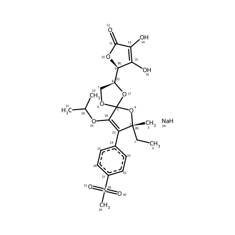 CC[C@@]1(C)OC2(OC[C@@H]([C@H]3OC(=O)C(O)=C3O)O2)C(OC(C)C)=C1c1ccc(S(C)(=O)=O)cc1.[NaH]